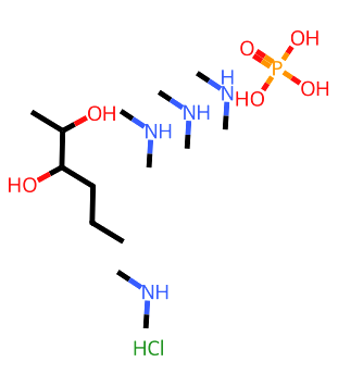 CCCC(O)C(C)O.CNC.CNC.CNC.CNC.Cl.O=P(O)(O)O